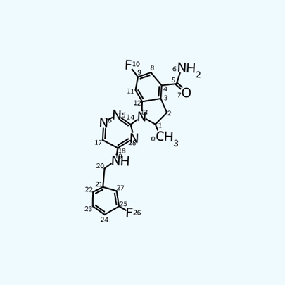 CC1Cc2c(C(N)=O)cc(F)cc2N1c1nncc(NCc2cccc(F)c2)n1